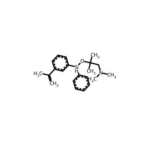 C=C(C)c1cccc([SiH](OC(C)(C)CN(C)C)c2ccccc2)c1